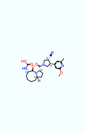 COc1cc([C@H]2CN(C(=O)[C@@H]3CC[C@@H]4CCCC[C@H](NC(=O)O)C(=O)N43)C[C@@H]2C#N)cc(C)n1